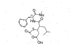 CNC(=O)[C@H](Cc1ccccc1)NC(=O)C(CC(C)C)C(CC(=O)O)SC(C)=O